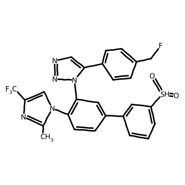 Cc1nc(C(F)(F)F)cn1-c1ccc(-c2cccc([SH](=O)=O)c2)cc1-n1nncc1-c1ccc(CF)cc1